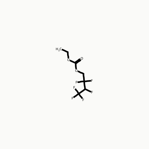 CCOC(=O)OCC(F)(F)C(F)C(F)(F)F